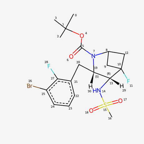 CC(C)(C)OC(=O)N1C2CC(F)(C2)[C@H](NS(C)(=O)=O)[C@@H]1Cc1cccc(Br)c1F